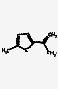 [CH2]C(=C)c1ccc(C)s1